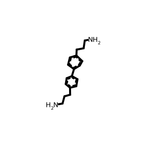 NCCCc1ccc(-c2ccc(CCCN)cc2)cc1